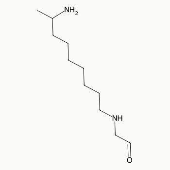 CC(N)CCCCCCCNCC=O